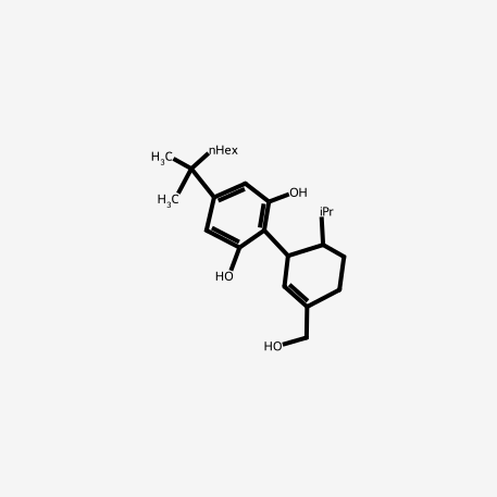 CCCCCCC(C)(C)c1cc(O)c(C2C=C(CO)CCC2C(C)C)c(O)c1